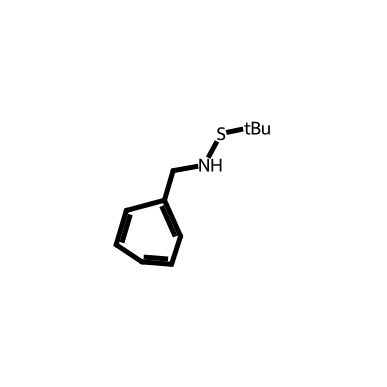 CC(C)(C)SNCc1ccccc1